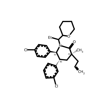 C=CC[C@@]1(C)C[C@H](c2cccc(Cl)c2)[C@@H](c2ccc(Cl)cc2)N(C(CC)C2CCCCO2)C1=O